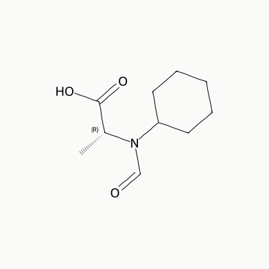 C[C@H](C(=O)O)N(C=O)C1CCCCC1